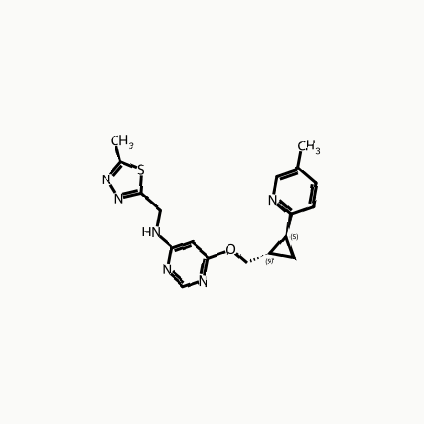 Cc1ccc([C@H]2C[C@@H]2COc2cc(NCc3nnc(C)s3)ncn2)nc1